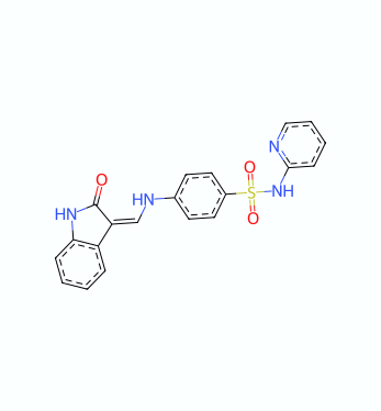 O=C1Nc2ccccc2C1=CNc1ccc(S(=O)(=O)Nc2ccccn2)cc1